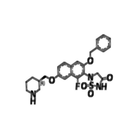 O=C1CN(c2c(OCc3ccccc3)cc3ccc(OC[C@@H]4CCCNC4)cc3c2F)S(=O)(=O)N1